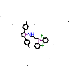 Cc1ccc(C2CCC(c3ccc(C)cc3)P2NCCCCP(c2ccccc2F)c2ccccc2F)cc1